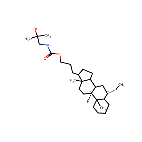 CC[C@H]1CC2C3CCC(CCCOC(=O)NCC(C)(C)O)C3(C)CC[C@@H]2C2(C)CCCCC12